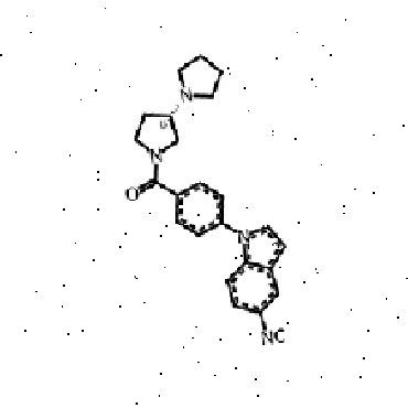 [C-]#[N+]c1ccc2c(ccn2-c2ccc(C(=O)N3CC[C@H](N4CCCC4)C3)cc2)c1